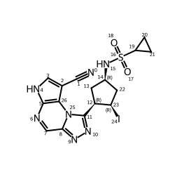 N#Cc1c[nH]c2ncc3nnc([C@H]4C[C@@H](NS(=O)(=O)C5CC5)C[C@H]4I)n3c12